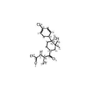 CCC(=O)N[C@@H](C(=O)N1CC[C@](O)(C2C=CC(Cl)=CC2)C(C)(C)C1)C(C)C